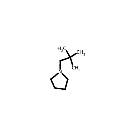 [CH2]C(C)(C)CN1CCCC1